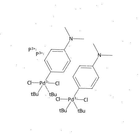 CN(C)c1cc[c]([Pd-3]([Cl])([Cl])([C](C)(C)C)[C](C)(C)C)cc1.CN(C)c1cc[c]([Pd-3]([Cl])([Cl])([C](C)(C)C)[C](C)(C)C)cc1.[P+3].[P+3]